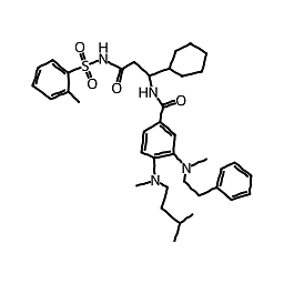 Cc1ccccc1S(=O)(=O)NC(=O)CC(NC(=O)c1ccc(N(C)CCC(C)C)c(N(C)CCc2ccccc2)c1)C1CCCCC1